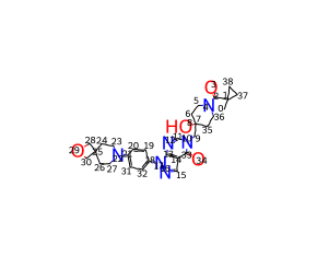 CC1(C(=O)N2CCC(O)(Cn3cnc4c(cnn4-c4ccc(N5CCC6(CC5)COC6)cc4)c3=O)CC2)CC1